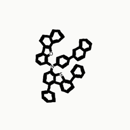 c1ccc(-c2cccc3c2sc2c(N(c4ccc(-c5ccc6ccccc6c5)cc4)c4cccc5c4oc4c6ccccc6ccc54)ccc(-c4ccccc4)c23)cc1